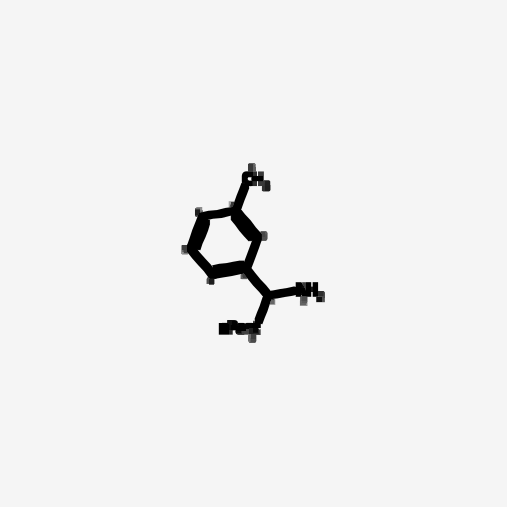 CCCCCC(N)c1cccc(C)c1